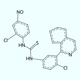 O=Nc1ccc(NC(=S)Nc2ccc(Cl)c(-c3nccc4ccccc34)c2)c(Cl)c1